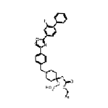 CC(=O)COC(=O)OC1(OC(=O)O)CCN(Cc2ccc(-c3noc(-c4ccc(-c5ccccc5)c(F)c4)n3)cc2)CC1